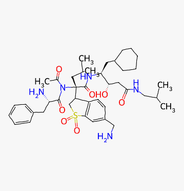 CC(=O)N(C(=O)[C@@H](N)Cc1ccccc1)[C@](CC(C)C)(C(=O)N[C@@H](CC1CCCCC1)[C@@H](O)CC(=O)NCC(C)C)C1CS(=O)(=O)c2cc(CN)ccc21